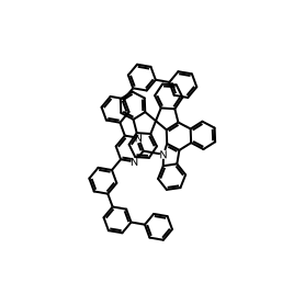 c1ccc(-c2cccc(-c3cccc(-c4cc(-c5cccc(-c6cccc(-c7ccccc7)c6)c5)nc(-n5c6ccccc6c6c7ccccc7c7c(c65)C5(c6ccccc6-c6ccccc65)c5ccccc5-7)n4)c3)c2)cc1